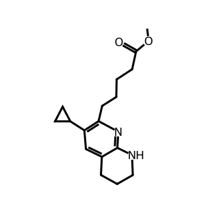 COC(=O)CCCCc1nc2c(cc1C1CC1)CCCN2